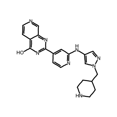 Oc1nc(-c2ccnc(Nc3cnn(CC4CCNCC4)c3)c2)nc2cnccc12